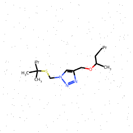 CC(C)CC(C)OCc1cn(CSC(C)(C)C(C)C)nn1